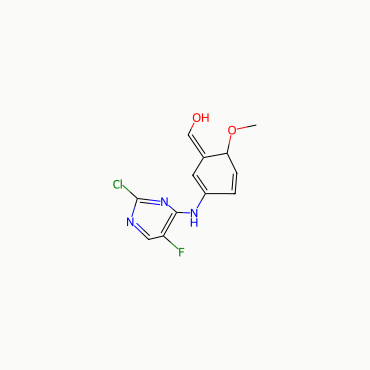 COC1C=CC(Nc2nc(Cl)ncc2F)=CC1=CO